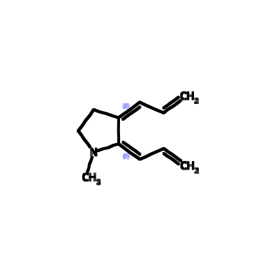 C=C/C=C1/CCN(C)/C1=C/C=C